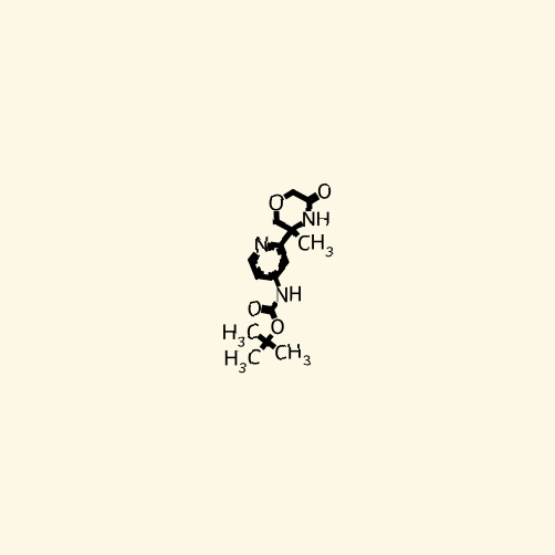 CC(C)(C)OC(=O)Nc1ccnc(C2(C)COCC(=O)N2)c1